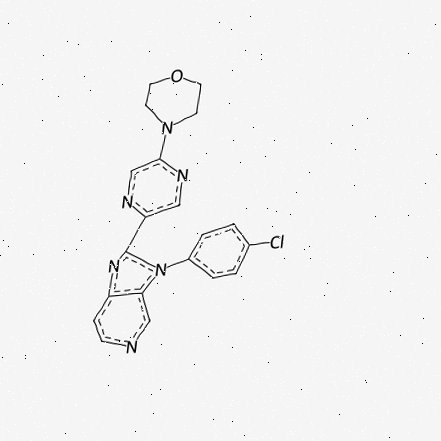 Clc1ccc(-n2c(-c3cnc(N4CCOCC4)cn3)nc3ccncc32)cc1